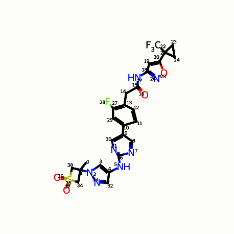 CC1(n2cc(Nc3ncc(-c4ccc(CC(=O)Nc5cc(C6(C(F)(F)F)CC6)on5)c(F)c4)cn3)cn2)CS(=O)(=O)C1